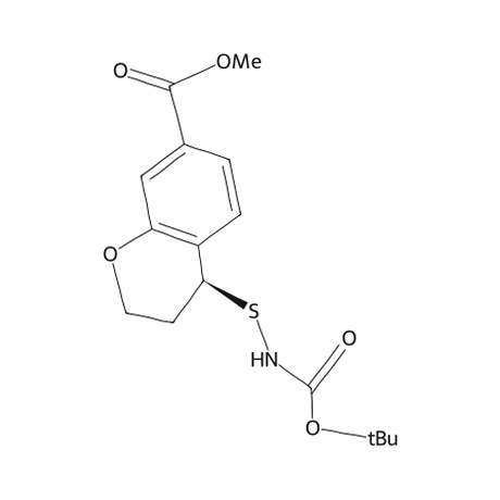 COC(=O)c1ccc2c(c1)OCC[C@@H]2SNC(=O)OC(C)(C)C